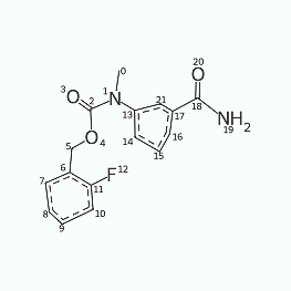 CN(C(=O)OCc1ccccc1F)c1cccc(C(N)=O)c1